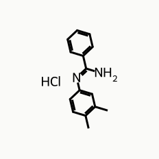 Cc1ccc(N=C(N)c2ccccc2)cc1C.Cl